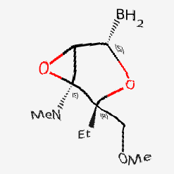 B[C@@H]1O[C@](CC)(COC)[C@@]2(NC)OC12